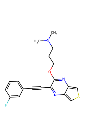 CN(C)CCCOc1nc2cscc2nc1C#Cc1cccc(F)c1